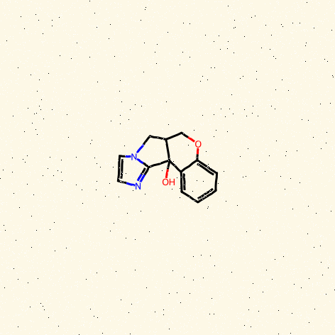 OC12c3ccccc3OCC1Cn1ccnc12